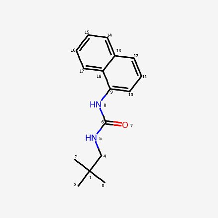 CC(C)(C)CNC(=O)Nc1cccc2ccccc12